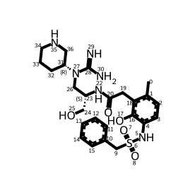 Cc1ccc(NS(=O)(=O)Cc2ccccc2)c(O)c1CC(=O)N[C@H](CO)CN(C(=N)N)[C@@H]1CCCNC1